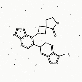 Cn1ncc2c1=CCC(c1cnc3[nH]ccc3c1N1CC3(CCNC3=O)C1)C=2